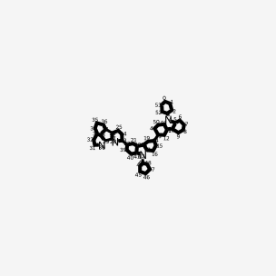 c1ccc(-n2c3ccccc3c3cc(-c4ccc5c(c4)c4cc(-c6ccc7c(n6)-c6nccc8cccc-7c68)ccc4n5-c4ccccc4)ccc32)cc1